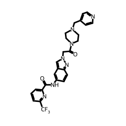 O=C(Nc1ccc2nn(CC(=O)N3CCN(Cc4ccncc4)CC3)cc2c1)c1cccc(C(F)(F)F)n1